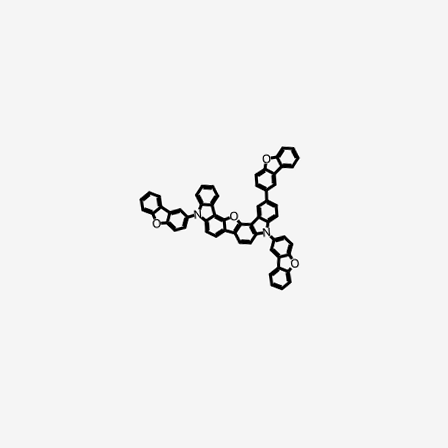 c1ccc2c(c1)oc1ccc(-c3ccc4c(c3)c3c5oc6c(ccc7c6c6ccccc6n7-c6ccc7oc8ccccc8c7c6)c5ccc3n4-c3ccc4oc5ccccc5c4c3)cc12